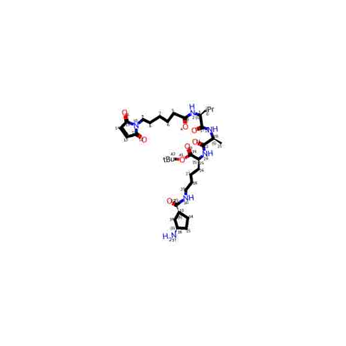 CC(C)[C@H](NC(=O)CCCCCN1C(=O)C=CC1=O)C(=O)N[C@@H](C)C(=O)N[C@@H](CCCCNC(=O)[C@@H]1CC[C@H](N)C1)C(=O)OC(C)(C)C